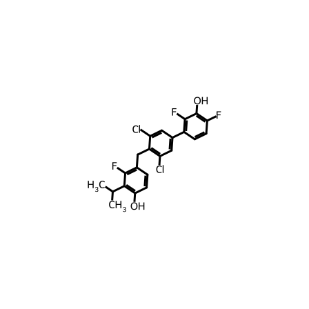 CC(C)c1c(O)ccc(Cc2c(Cl)cc(-c3ccc(F)c(O)c3F)cc2Cl)c1F